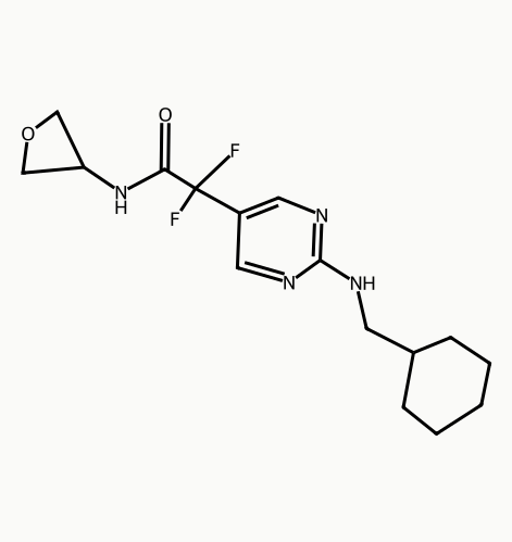 O=C(NC1COC1)C(F)(F)c1cnc(NCC2CCCCC2)nc1